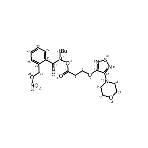 CC(C)(C)N(OC(=O)CCOc1nsnc1N1CCOCC1)C(=O)c1ccccc1CO[N+](=O)[O-]